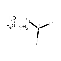 O.O.O.[I][Y]([I])[I]